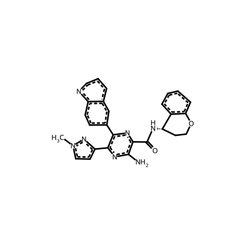 Cn1ccc(-c2nc(N)c(C(=O)N[C@H]3CCOc4ccccc43)nc2-c2ccc3ncccc3c2)n1